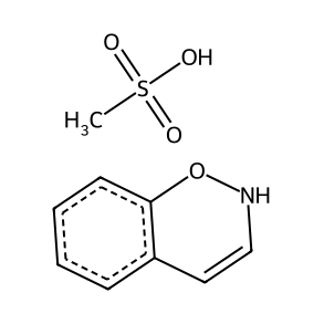 C1=Cc2ccccc2ON1.CS(=O)(=O)O